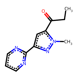 CCC(=O)c1cc(-c2ncccn2)nn1C